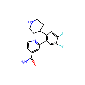 NC(=O)c1ccnc(-c2cc(F)c(F)cc2C2CCNCC2)c1